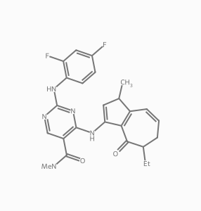 CCC1CC=CC2=C(C1=O)C(Nc1nc(Nc3ccc(F)cc3F)ncc1C(=O)NC)=CC2C